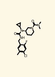 Cc1cc(CNC(=O)N(C2CC2)[C@@H]2CCCN(C(=O)N(C)C)C2)c(F)cc1Cl